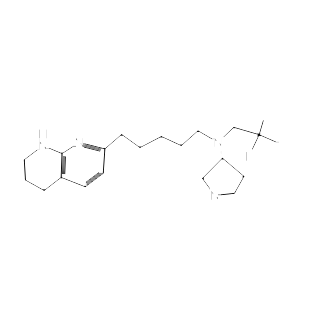 FC(F)(F)CN(CCCCCc1ccc2c(n1)NCCC2)[C@@H]1CCNC1